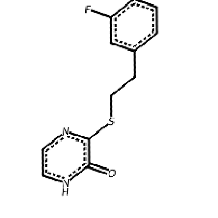 O=c1[nH]ccnc1SCCc1cccc(F)c1